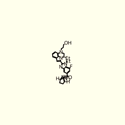 CC[C@@H]1CN(CCCO)c2cccc3cc(-c4nc5cc(C(=O)N6C[C@H]7CC[C@@H]6[C@@H]7N)cc(F)c5n4CC)n1c23